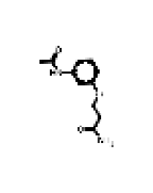 CC(=O)Nc1cccc(OCCC(N)=O)c1